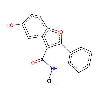 CNC(=O)c1c(-c2ccccc2)oc2ccc(O)cc12